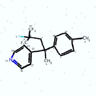 Cc1ccc(C(C)(CC(F)(C(F)(F)F)C(F)(F)F)c2ccncc2)cc1